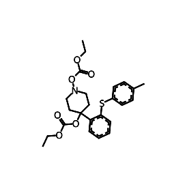 CCOC(=O)ON1CCC(OC(=O)OCC)(c2ccccc2Sc2ccc(C)cc2)CC1